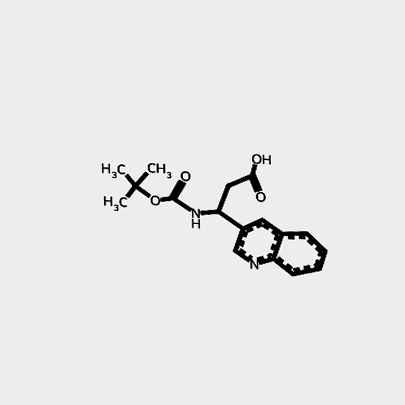 CC(C)(C)OC(=O)NC(CC(=O)O)c1cnc2ccccc2c1